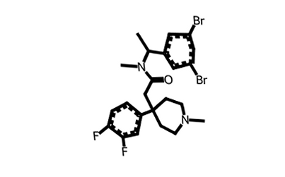 CC(c1cc(Br)cc(Br)c1)N(C)C(=O)CC1(c2ccc(F)c(F)c2)CCN(C)CC1